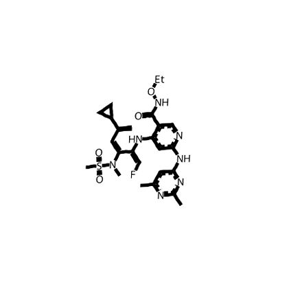 C=C(/C=C(\C(=C/F)Nc1cc(Nc2cc(C)nc(C)n2)ncc1C(=O)NOCC)N(C)S(C)(=O)=O)C1CC1